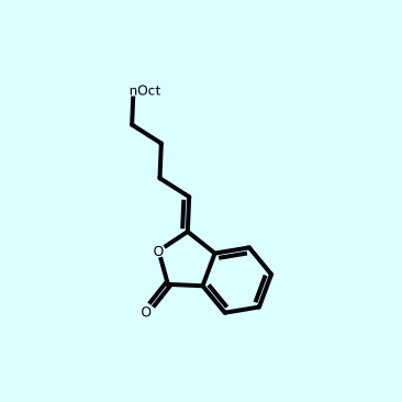 CCCCCCCCCCCC=C1OC(=O)c2ccccc21